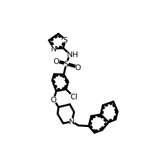 O=S(=O)(Nc1nccs1)c1ccc(OC2CCN(Cc3ccc4ccccc4c3)CC2)c(Cl)c1